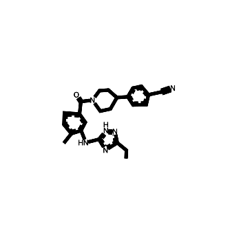 CCc1n[nH]c(Nc2cc(C(=O)N3CCC(c4ccc(C#N)cc4)CC3)ccc2C)n1